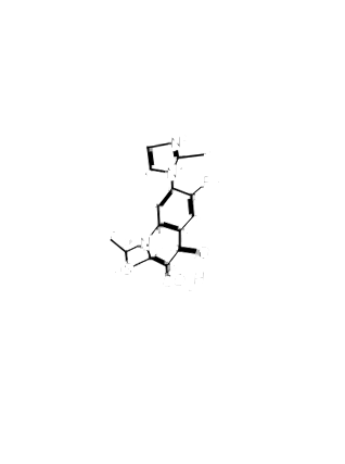 Cc1nccn1-c1cc2c(cc1F)c(=O)c(C(=O)O)c1n2C(C)S1